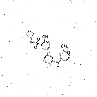 Cc1nccc(Nc2cc(-c3cnc(O)c(S(=O)(=O)NC4CCC4)c3)ccn2)n1